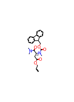 C=CCOC(=O)C[C@@H](C(=O)N(C)C)N(C)C(=O)OCC1c2ccccc2-c2ccccc21